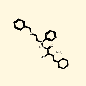 N[C@H](CC1CCCCC1)C(O)C(=O)NN(CCOCc1ccccc1)c1ccccc1